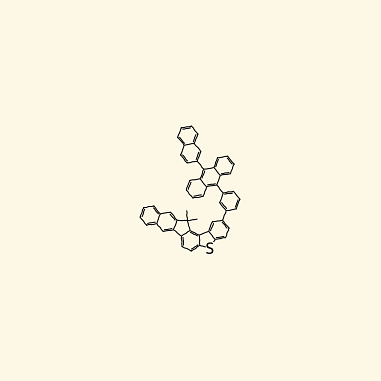 CC1(C)c2cc3ccccc3cc2-c2ccc3sc4ccc(-c5cccc(-c6c7ccccc7c(-c7ccc8ccccc8c7)c7ccccc67)c5)cc4c3c21